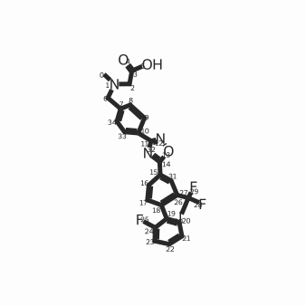 CN(CC(=O)O)Cc1ccc(-c2noc(-c3ccc(-c4ccccc4F)c(C(F)(F)I)c3)n2)cc1